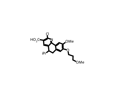 COCCCOc1cc2c(cc1OC)-c1nc(Cl)c(C(=O)O)cc1C(C(C)C)C2